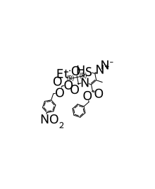 CC[C@@H](OC(=O)OCc1ccc([N+](=O)[O-])cc1)C1([O])C(=O)N2C(C(=O)OCc3ccccc3)=C(C)C(=[N+]=[N-])S[C@@H]21